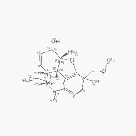 COCC1(O)CC=C2C(=O)[C@@H]3[C@@H]4C=C[C@H](O)[C@@H]5OC1=C2[C@]45CCN3C